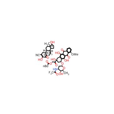 CCCCC(=O)OCC(=O)[C@]1(O)Cc2c(O)c3c(c(O)c2[C@@H](O[C@H]2C[C@H](NC(=O)C(F)(F)F)[C@H](O)[C@H](C)O2)C1)C(=O)c1c(OC)cccc1C3=O.C[C@]12CC[C@H]3[C@@H](CC[C@@]45O[C@@H]4C(O)=C(C#N)C[C@]35C)[C@@H]1CC[C@@H]2O